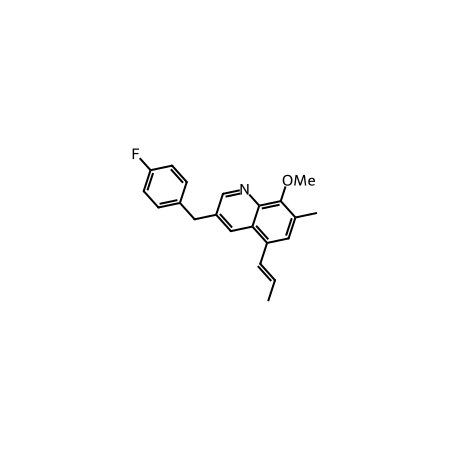 C/C=C/c1cc(C)c(OC)c2ncc(Cc3ccc(F)cc3)cc12